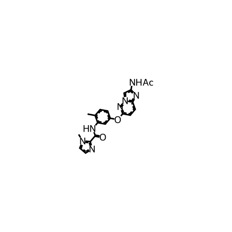 CC(=O)Nc1cn2nc(Oc3ccc(C)c(NC(=O)c4nccn4C)c3)ccc2n1